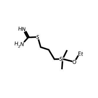 CCO[Si](C)(C)CCCSC(=N)N